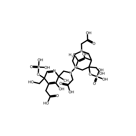 CC1=C(O)C2CN(CC(=O)O)CC[N+]1(N(CC(=O)O)CC1(C)N=CC(CO)(OP(=O)(O)O)C(CC(=O)O)=C1O)CC2(CO)OP(=O)(O)O